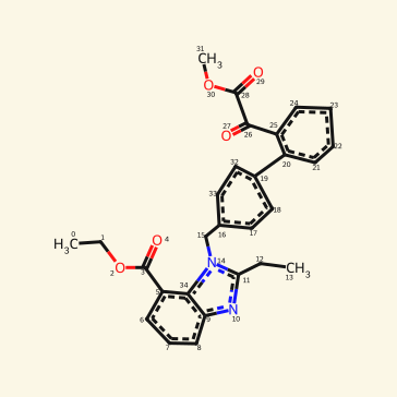 CCOC(=O)c1cccc2nc(CC)n(Cc3ccc(-c4ccccc4C(=O)C(=O)OC)cc3)c12